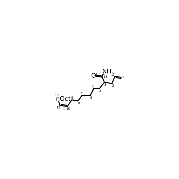 C=CCC(CCCCCC/C=C\CCCCCCCC)C(N)=O